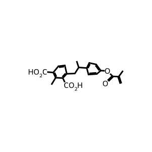 C=C(C)C(=O)Oc1ccc(C(C)Cc2ccc(C(=O)O)c(C)c2C(=O)O)cc1